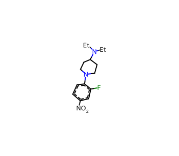 CCN(CC)C1CCN(c2ccc([N+](=O)[O-])cc2F)CC1